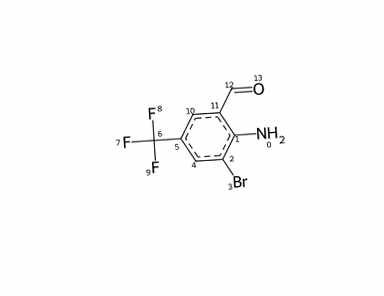 Nc1c(Br)cc(C(F)(F)F)cc1C=O